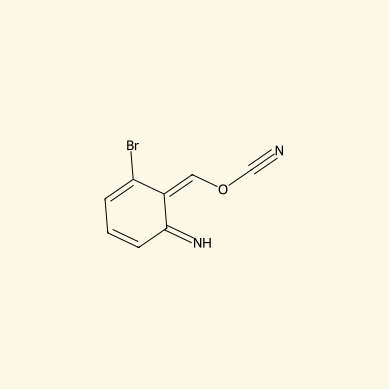 N#CO/C=C1\C(=N)C=CC=C1Br